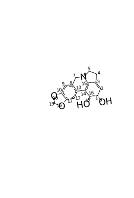 O[C@H]1C=C2CCN3Cc4cc5c(cc4C(=C23)[C@@H]1O)OCO5